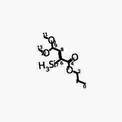 CCCOC(=O)C([SiH3])=CC(OC)OC